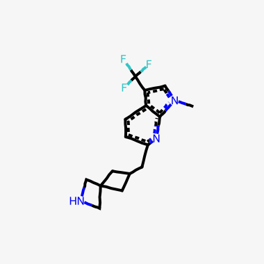 Cn1cc(C(F)(F)F)c2ccc(CC3CC4(CNC4)C3)nc21